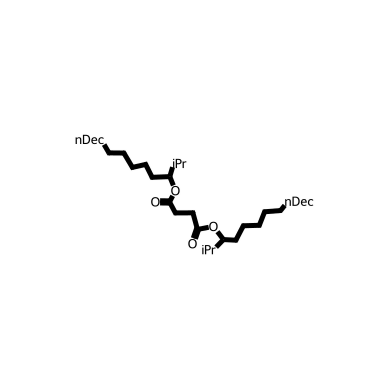 CCCCCCCCCCCCCCCC(OC(=O)CCC(=O)OC(CCCCCCCCCCCCCCC)C(C)C)C(C)C